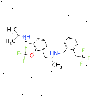 CC(C)NCc1cccc(CC(C)NCc2ccccc2CC(F)(F)F)c1OC(F)(F)F